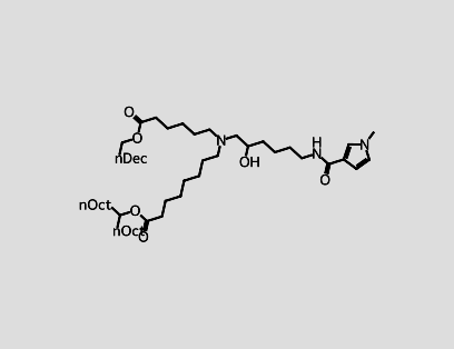 CCCCCCCCCCCOC(=O)CCCCCN(CCCCCCCC(=O)OC(CCCCCCCC)CCCCCCCC)CC(O)CCCCNC(=O)c1ccn(C)c1